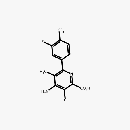 Cc1c(-c2ccc(C(F)(F)F)c(F)c2)nc(C(=O)O)c(Cl)c1N